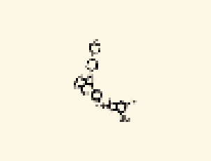 CCc1cc(C(C)(C)C)c2oc(Nc3ccc(-c4nn([C@H]5CC[C@H](N6CCOCC6)CC5)c5ncnc(N)c45)cc3)nc2c1